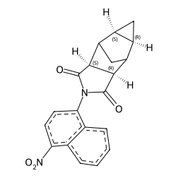 O=C1[C@@H]2C3CC([C@H]4C[C@@H]34)[C@@H]2C(=O)N1c1ccc([N+](=O)[O-])c2ccccc12